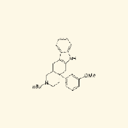 CCCCN1CCC2(c3cccc(OC)c3)Cc3[nH]c4ccccc4c3CC2C1